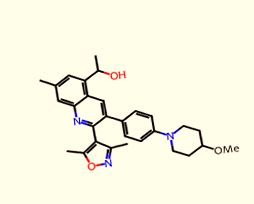 COC1CCN(c2ccc(-c3cc4c(C(C)O)cc(C)cc4nc3-c3c(C)noc3C)cc2)CC1